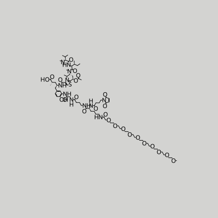 CC[C@H](C)[C@H](NC(=O)[C@H](C(C)C)N(C)C)C(=O)N(C)[C@H](C[C@@H](OC(C)=O)c1nc(C(=O)N[C@@H](Cc2ccc(O)c(NC(=O)CNC(=O)CCCNC(=O)[C@H](CCCCNC(=O)COCCOCCOCCOCCOCCOCCOCCOCCOCCOC)NC(=O)CCCN3C(=O)C=CC3=O)c2)C[C@H](C)C(=O)O)cs1)C(C)C